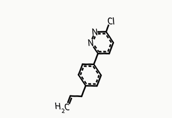 C=CCc1ccc(-c2ccc(Cl)nn2)cc1